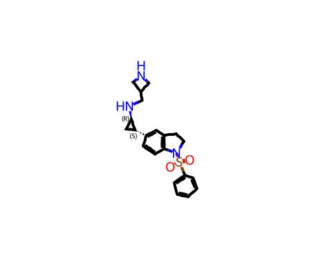 O=S(=O)(c1ccccc1)N1CCc2cc([C@@H]3C[C@H]3NCC3CNC3)ccc21